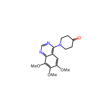 COc1cc2c(N3CCC(=O)CC3)ncnc2c(OC)c1OC